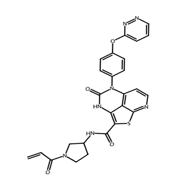 C=CC(=O)N1CCC(NC(=O)c2sc3nccc4c3c2NC(=O)N4c2ccc(Oc3cccnn3)cc2)C1